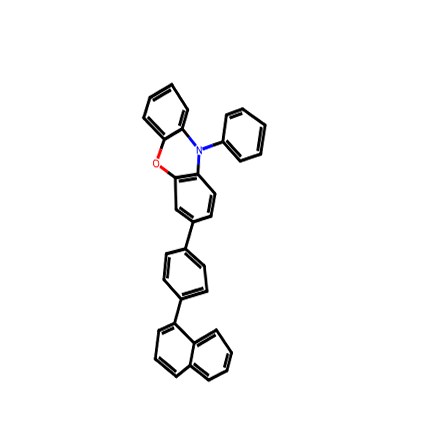 c1ccc(N2c3ccccc3Oc3cc(-c4ccc(-c5cccc6ccccc56)cc4)ccc32)cc1